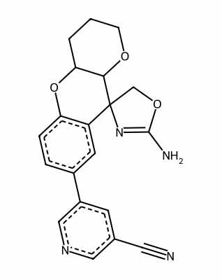 N#Cc1cncc(-c2ccc3c(c2)C2(COC(N)=N2)C2OCCCC2O3)c1